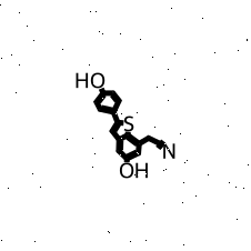 N#CCc1cc(O)cc2cc(-c3ccc(O)cc3)sc12